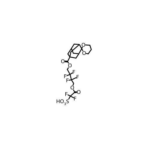 O=C(OCC(F)(F)C(F)(F)COC(=O)C(F)(F)S(=O)(=O)O)C12CC3CC(C1)C1(OCCCO1)C(C3)C2